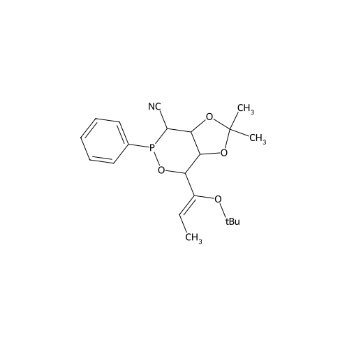 C/C=C(\OC(C)(C)C)C1OP(c2ccccc2)C(C#N)C2OC(C)(C)OC12